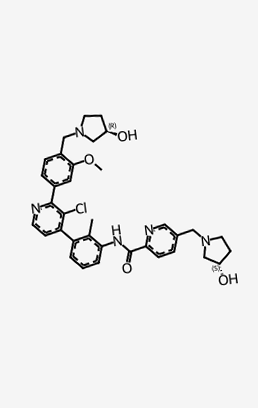 COc1cc(-c2nccc(-c3cccc(NC(=O)c4ccc(CN5CC[C@H](O)C5)cn4)c3C)c2Cl)ccc1CN1CC[C@@H](O)C1